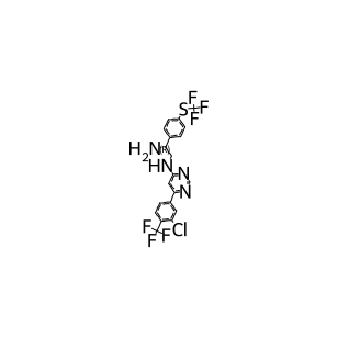 N[C@@H](CNc1cc(-c2ccc(C(F)(F)F)c(Cl)c2)ncn1)c1ccc(SC(F)(F)F)cc1